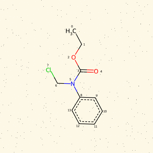 CCOC(=O)N(CCl)c1ccccc1